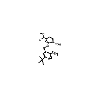 COC(=O)c1ccc(O)c(N=Nc2cc(C(C)(C)C)ccc2O)c1